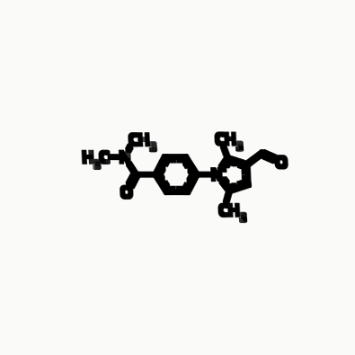 Cc1cc(C=O)c(C)n1-c1ccc(C(=O)N(C)C)cc1